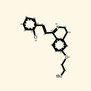 CC(C)(C)CCOc1ccc2c(c1)CCN=C2/C=C/c1ccccc1Cl